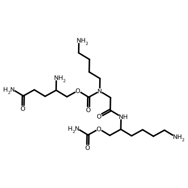 NCCCCC(COC(N)=O)NC(=O)CN(CCCCN)C(=O)OCC(N)CCC(N)=O